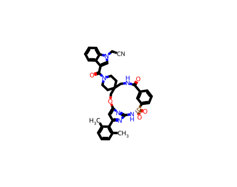 Cc1cccc(C)c1-c1cc2nc(n1)NS(=O)(=O)c1cccc(c1)C(=O)NCC1(CCN(C(=O)c3cn(CC#N)c4ccccc34)CC1)CO2